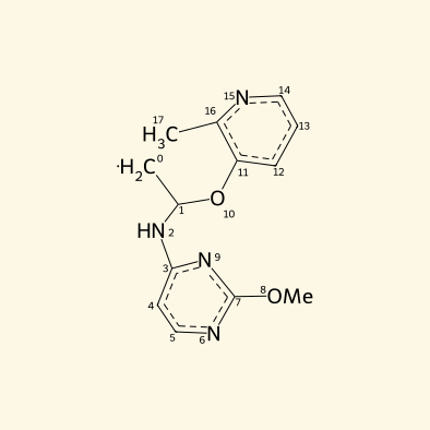 [CH2]C(Nc1ccnc(OC)n1)Oc1cccnc1C